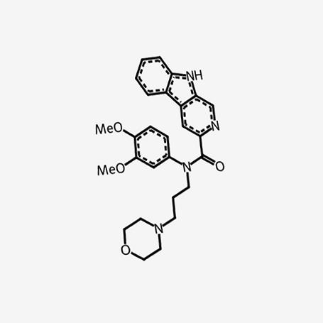 COc1ccc(N(CCCN2CCOCC2)C(=O)c2cc3c(cn2)[nH]c2ccccc23)cc1OC